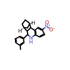 Cc1cccc(C2Nc3ccc([N+](=O)[O-])cc3C3C2[C@H]2CC[C@@H]3C2)c1